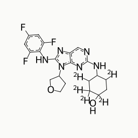 [2H]C1CC([2H])(O)C([2H])([2H])C([2H])C1Nc1ncc2nc(Nc3c(F)cc(F)cc3F)n(C3CCOC3)c2n1